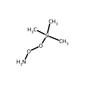 C[Si](C)(C)OON